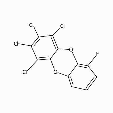 Fc1cccc2c1Oc1c(Cl)c(Cl)c(Cl)c(Cl)c1O2